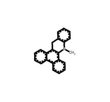 CN1c2ccccc2Cc2c1c1ccccc1c1ccccc21